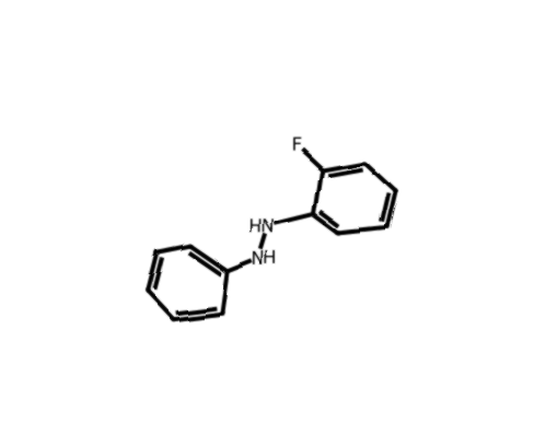 Fc1ccccc1NNc1ccccc1